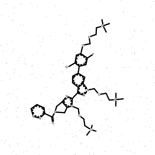 CCc1cc(OCOCC[Si](C)(C)C)c(F)cc1-c1ccc2c(-c3nc4c(n3COCC[Si](C)(C)C)CN(C(=O)c3cccnn3)C4)nn(COCC[Si](C)(C)C)c2c1